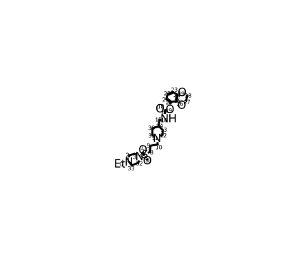 CCN1CCN(S(=O)(=O)CCCN2CCC(CNC(=O)Oc3cccc4c3OCCO4)CC2)CC1